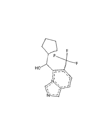 OC(c1c(C(F)(F)F)ccc2cncn12)C1CCCC1